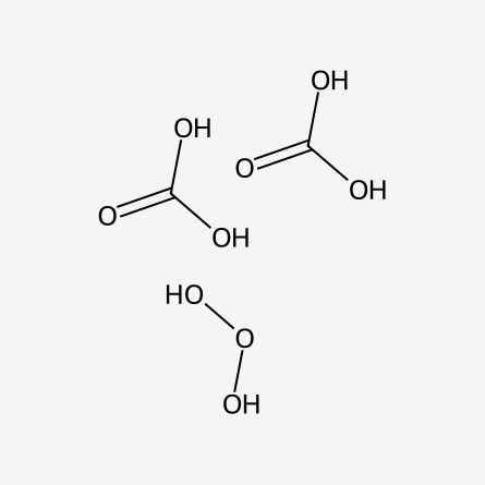 O=C(O)O.O=C(O)O.OOO